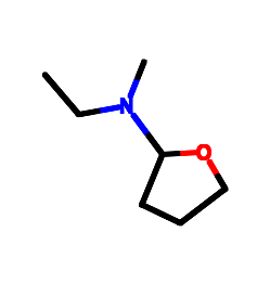 CCN(C)C1CCCO1